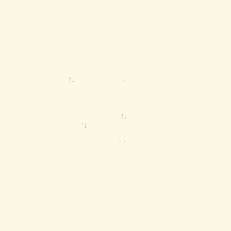 C=C1OC2(CCN(C(=O)c3cn(Cc4ccnc(C)c4)c4cc(Cl)ccc34)CC2)c2ccc(F)cc21